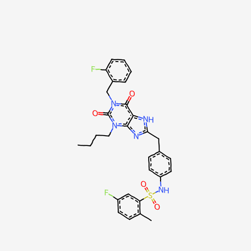 CCCCn1c(=O)n(Cc2ccccc2F)c(=O)c2[nH]c(Cc3ccc(NS(=O)(=O)c4cc(F)ccc4C)cc3)nc21